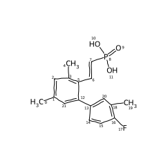 Cc1cc(C)c(C=CP(=O)(O)O)c(-c2ccc(F)c(C)c2)c1